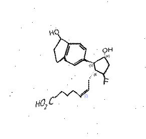 O=C(O)CCC/C=C\C[C@H]1C(F)C[C@@H](O)[C@@H]1c1ccc2c(c1)CCC2O